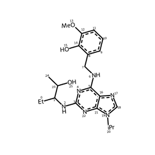 CCC(Nc1nc(NCc2cccc(OC)c2O)c2ncn(C(C)C)c2n1)C(C)O